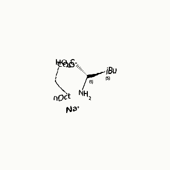 CCCCCCCCCC(=O)[O-].CC[C@H](C)[C@H](N)C(=O)O.[Na+]